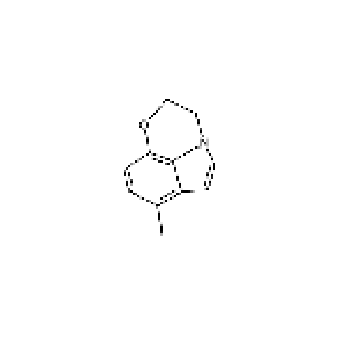 Cc1ccc2c3c1ccn3CCO2